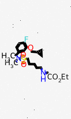 CCOC(=O)CNCCCCCS(=O)(=O)N(C)[C@H](C)c1ccc(F)c(OCC2CC2)c1